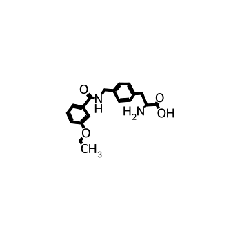 CCOc1cccc(C(=O)NCc2ccc(C[C@H](N)C(=O)O)cc2)c1